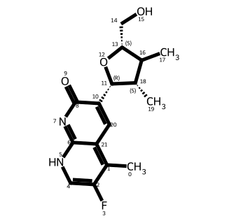 Cc1c(F)c[nH]c2nc(=O)c([C@@H]3O[C@H](CO)C(C)[C@@H]3C)cc1-2